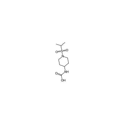 CC(C)S(=O)(=O)N1CCC(NC(=O)O)CC1